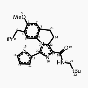 COc1cc2c(cc1CC(C)C)-n1c(-c3cccs3)nc(C(=O)NCC(C)(C)C)c1CC2